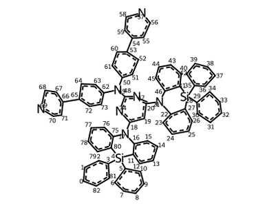 c1ccc([Si]2(c3ccccc3)c3ccccc3N(c3cc(N4c5ccccc5[Si](c5ccccc5)(c5ccccc5)c5ccccc54)nc(N(c4ccc(-c5ccncc5)cc4)c4ccc(-c5ccncc5)cc4)n3)c3ccccc32)cc1